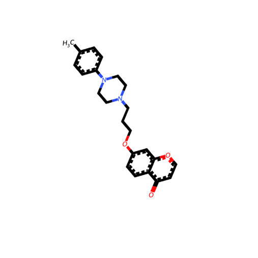 Cc1ccc(N2CCN(CCCOc3ccc4c(=O)ccoc4c3)CC2)cc1